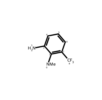 CNc1c(N)cccc1C(F)(F)F